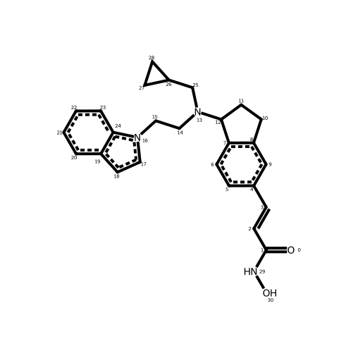 O=C(C=Cc1ccc2c(c1)CCC2N(CCn1ccc2ccccc21)CC1CC1)NO